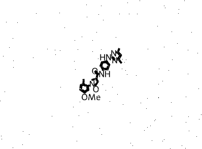 COc1ccc(C)c(N2CC(C(=O)Nc3ccc(Nc4nc(C)cc(C)n4)cc3)CC2=O)c1